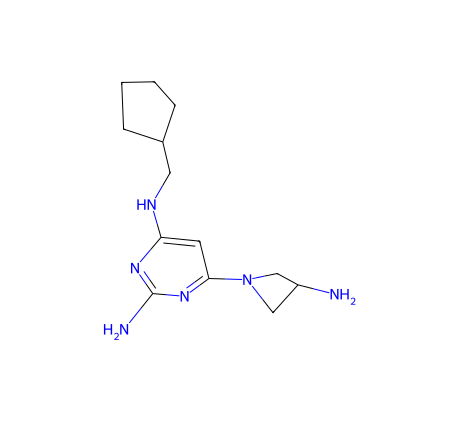 Nc1nc(NCC2CCCC2)cc(N2CC(N)C2)n1